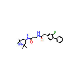 CC1(C)CC(NC(=O)CCNC(=O)Cc2ccc(-c3ccccc3)c(F)c2)CC(C)(C)N1